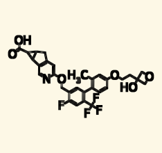 Cc1cc(OCCC2(O)COC2)ccc1-c1cc(COc2cc3c(cn2)C2C(C3)C2C(=O)O)c(F)cc1C(F)(F)F